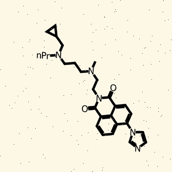 CCCN(CCCN(C)CCN1C(=O)c2cccc3c(-n4ccnc4)ccc(c23)C1=O)CC1CC1